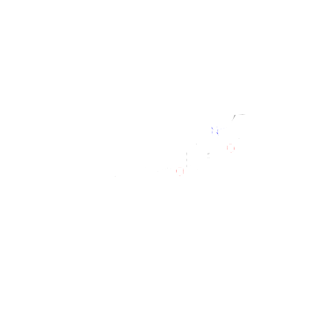 CCCCCCCOc1ccc(C2=N[C@@H](C(C)C)CO2)cc1